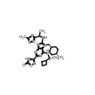 Cc1noc(C(C)Nc2nc3nc(-c4noc(=O)[nH]4)nc(N[C@H](C)C4CCC4)c3n2C[C@H]2CC[C@H](C)CC2)n1